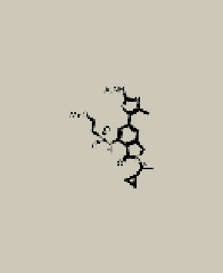 COCCS(=O)(=O)Nc1cc(-c2sc(NC(C)=O)nc2C)cc2c1C(=O)N([C@@H](C)C1CC1)C2